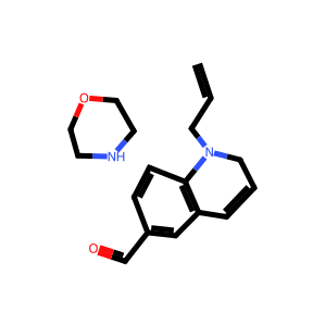 C1COCCN1.C=CCN1CC=Cc2cc(C=O)ccc21